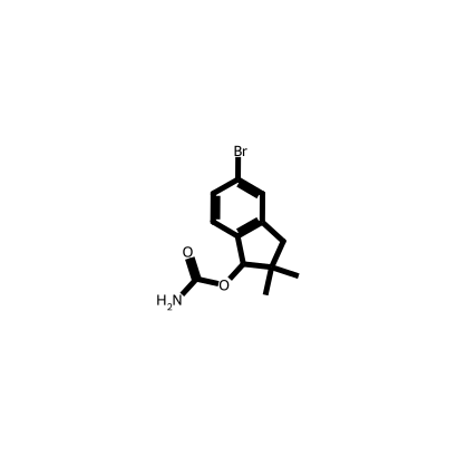 CC1(C)Cc2cc(Br)ccc2C1OC(N)=O